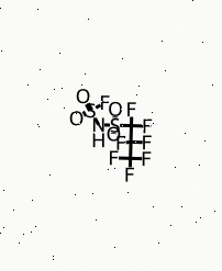 O=S(=O)(F)NS(=O)(=O)C(F)(F)C(F)(F)C(F)(F)F